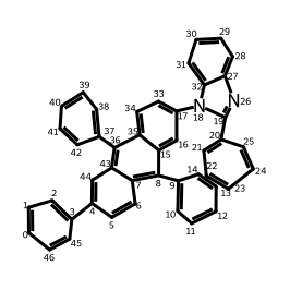 c1ccc(-c2ccc3c(-c4ccccc4)c4cc(-n5c(-c6ccccc6)nc6ccccc65)ccc4c(-c4ccccc4)c3c2)cc1